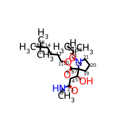 CNC(=O)CC(O)C1(C(=O)OCCCCC(C)(C)C)CCCN1O[SiH](C)C